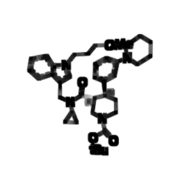 COCCCn1cc(CN(C(=O)[C@H]2CN(C(=O)OC(C)(C)C)CC[C@@H]2c2cccc(N3CCCCC3)c2)C2CC2)c2ccccc21